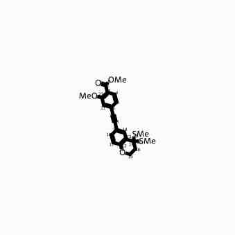 COC(=O)c1ccc(C#Cc2ccc3c(c2)C(SC)(SC)CCO3)cc1OC